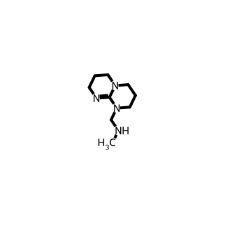 CNCN1CCCN2CCCN=C21